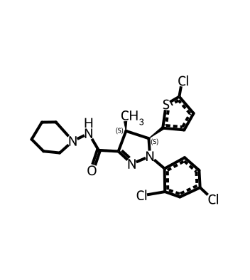 C[C@@H]1C(C(=O)NN2CCCCC2)=NN(c2ccc(Cl)cc2Cl)[C@@H]1c1ccc(Cl)s1